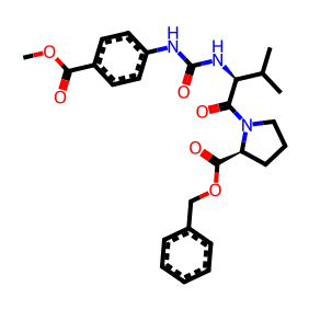 COC(=O)c1ccc(NC(=O)N[C@H](C(=O)N2CCC[C@H]2C(=O)OCc2ccccc2)C(C)C)cc1